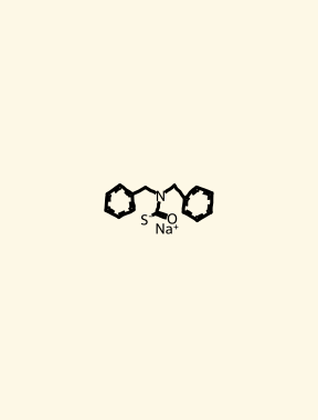 O=C([S-])N(Cc1ccccc1)Cc1ccccc1.[Na+]